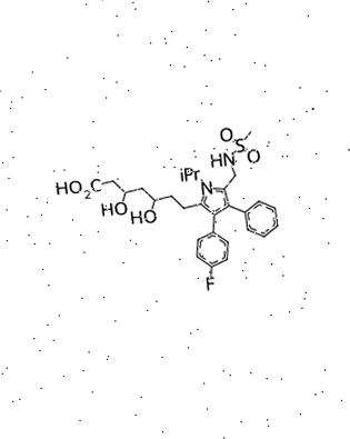 CC(C)n1c(CCC(O)CC(O)CC(=O)O)c(-c2ccc(F)cc2)c(-c2ccccc2)c1CNS(C)(=O)=O